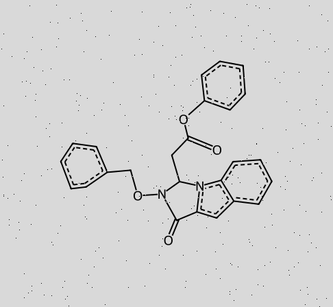 O=C(CC1N(OCc2ccccc2)C(=O)c2cc3ccccc3n21)Oc1ccccc1